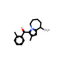 Cc1ccccc1C(=O)c1c(C)cc2n1CCCCC2C(=O)O